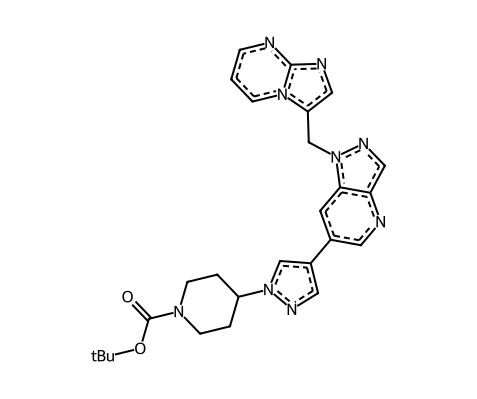 CC(C)(C)OC(=O)N1CCC(n2cc(-c3cnc4cnn(Cc5cnc6ncccn56)c4c3)cn2)CC1